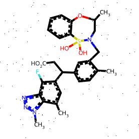 Cc1ccc(C(CC(=O)O)c2cc(C)c3c(nnn3C)c2F)cc1CN1CC(C)Oc2ccccc2S1(O)O